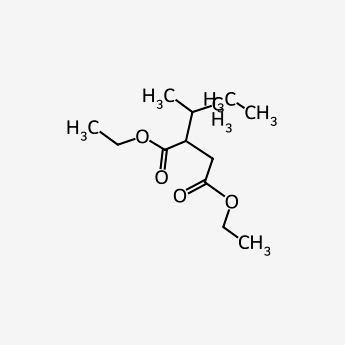 CC.CCOC(=O)CC(C(=O)OCC)C(C)C